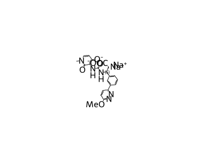 COc1ccc(-c2cccc([C@H](CC(=O)[O-])NC(=O)Nc3c([O-])ccn(C)c3=O)c2)nn1.[Na+].[Na+]